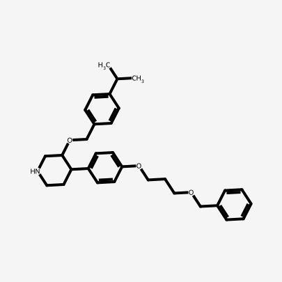 CC(C)c1ccc(COC2CNCCC2c2ccc(OCCCOCc3ccccc3)cc2)cc1